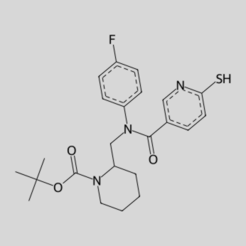 CC(C)(C)OC(=O)N1CCCCC1CN(C(=O)c1ccc(S)nc1)c1ccc(F)cc1